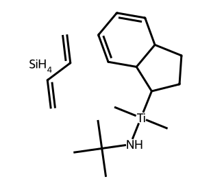 C=CC=C.CC(C)(C)[NH][Ti]([CH3])([CH3])[CH]1CCC2C=CC=CC21.[SiH4]